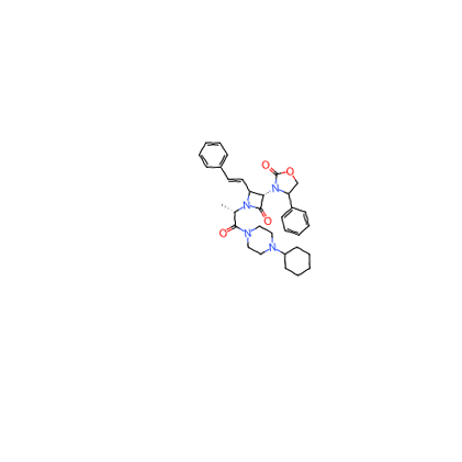 C[C@@H](C(=O)N1CCN(C2CCCCC2)CC1)N1C(=O)[C@@H](N2C(=O)OCC2c2ccccc2)C1/C=C/c1ccccc1